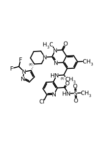 Cc1cc([C@@H](C)Nc2ccc(Cl)nc2C(=O)NS(C)(=O)=O)c2nc(N3CCC[C@@H](c4ccnn4C(F)F)C3)n(C)c(=O)c2c1